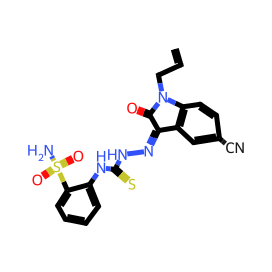 C=CCN1C(=O)C(=NNC(=S)Nc2ccccc2S(N)(=O)=O)c2cc(C#N)ccc21